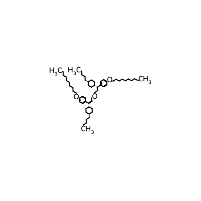 CCCCCCCCCCOc1ccc(C(=CCOCC=C(c2ccc(OCCCCCCCCCC)cc2)[C@H]2CC[C@H](CCCCC)CC2)[C@H]2CC[C@H](CCCCC)CC2)cc1